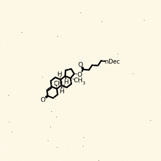 CCCCCCCCCCCCCCC(=O)O[C@H]1CC[C@H]2[C@@H]3CCC4=CC(=O)CC[C@]4(C)[C@H]3CC[C@]12C